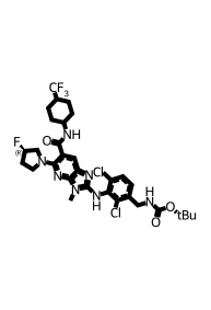 Cn1c(Nc2c(Cl)ccc(CNC(=O)OC(C)(C)C)c2Cl)nc2cc(C(=O)NC3CCC(C(F)(F)F)CC3)c(N3CC[C@@H](F)C3)nc21